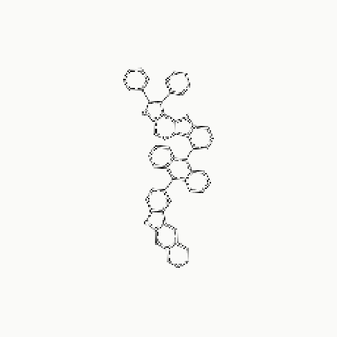 c1ccc(-c2oc3ccc4c(sc5cccc(-c6c7ccccc7c(-c7ccc8oc9cc%10ccccc%10cc9c8c7)c7ccccc67)c54)c3c2-c2ccccc2)cc1